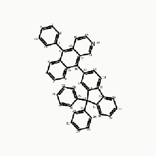 c1ccc(-c2c3ccccc3c(-c3ccc4c(c3)C(c3ccccc3)(c3ccccc3)c3ccccc3-4)c3cnccc23)cc1